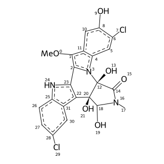 COc1c2n(c3cc(Cl)c(O)cc13)[C@]1(O)C(=O)N(C)C(O)[C@]1(O)c1c-2[nH]c2ccc(Cl)cc12